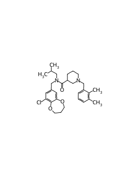 Cc1cccc(CN2CCCC(C(=O)N(Cc3cc(Cl)c4c(c3)OCCCO4)CC(C)C)C2)c1C